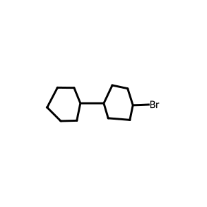 BrC1CCC(C2CCCCC2)CC1